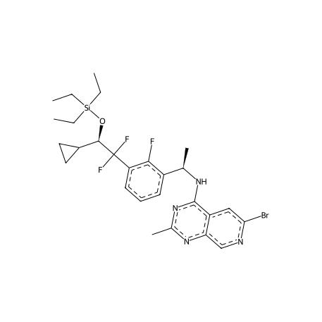 CC[Si](CC)(CC)O[C@H](C1CC1)C(F)(F)c1cccc([C@@H](C)Nc2nc(C)nc3cnc(Br)cc23)c1F